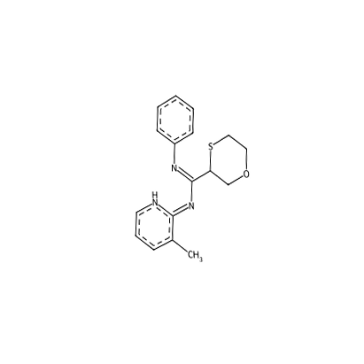 Cc1ccc[nH]c1=NC(=Nc1ccccc1)C1COCCS1